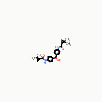 CC1(C)CC1C(=O)Nc1ccc(C(O)c2ccc(NC(=O)C3CC3(C)C)cc2)cc1